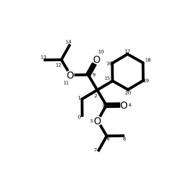 CCC(C(=O)OC(C)C)(C(=O)OC(C)C)C1CCCCC1